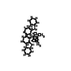 C[SiH](C)[Hf]([Cl])([Cl])([c]1cccc2c1Cc1ccccc1-2)[c]1cccc2c1Cc1ccccc1-2